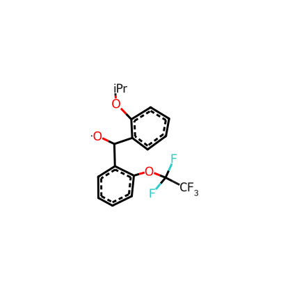 CC(C)Oc1ccccc1C([O])c1ccccc1OC(F)(F)C(F)(F)F